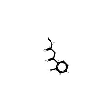 COC(=O)CC(=O)c1ccccc1I